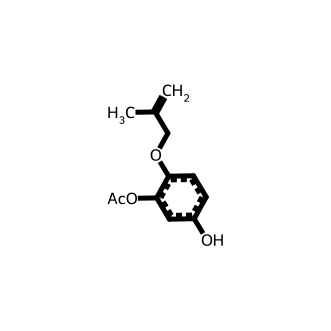 C=C(C)COc1ccc(O)cc1OC(C)=O